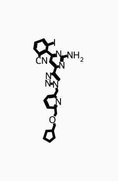 N#Cc1cccc(I)c1-c1cc(-c2cn(Cc3cccc(COCC4CCCC4)n3)nn2)nc(N)n1